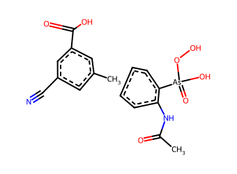 CC(=O)Nc1ccccc1[As](=O)(O)OO.Cc1cc(C#N)cc(C(=O)O)c1